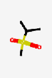 C[C](C)S(C)(=O)=O